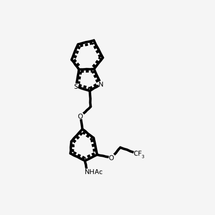 CC(=O)Nc1ccc(OCc2nc3ccccc3s2)cc1OCC(F)(F)F